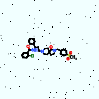 CS(=O)(=O)c1ccc(CN2CCC3(CCN(CCC(NC(=O)c4ccccc4Cl)c4ccccc4)CC3)C2=O)cc1